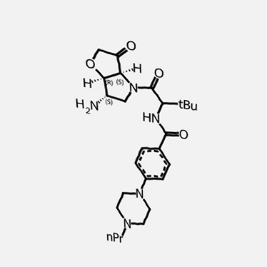 CCCN1CCN(c2ccc(C(=O)NC(C(=O)N3C[C@H](N)[C@H]4OCC(=O)[C@H]43)C(C)(C)C)cc2)CC1